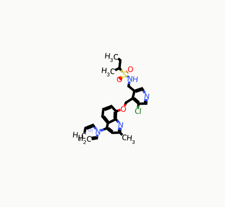 C=CN(/C=C\C)c1cc(C)nc2c(OCc3c(Cl)cncc3CNS(=O)(=O)C(C)CC)cccc12